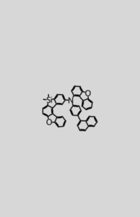 C[Si]1(C)c2ccc(N(c3ccc(-c4cccc5ccccc45)cc3)c3cccc4oc5ccccc5c34)cc2-c2c1ccc1oc3ccccc3c21